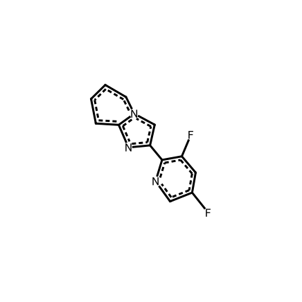 Fc1cnc(-c2cn3ccccc3n2)c(F)c1